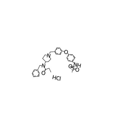 CCC(=O)N(Cc1ccccc1)C1CCN(Cc2ccc(Oc3ccc(NS(C)(=O)=O)cc3)cc2)CC1.Cl